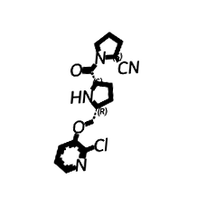 N#C[C@@H]1CCCN1C(=O)[C@@H]1CC[C@H](COc2cccnc2Cl)N1